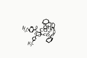 Cc1ccc(C(=O)O[C@@H](C(=O)O)[C@@H](OC(=O)c2ccc(C)cc2)C(=O)O)cc1.O[C@@H]1CCCC[C@H]1N1CC[C@@H](OCc2ccccc2)C1